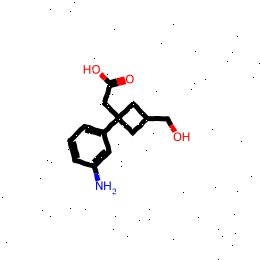 Nc1cccc(C2(CC(=O)O)CC(CO)C2)c1